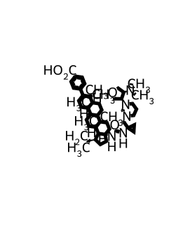 C=C(C)[C@@H]1CC[C@]2(NC(=O)NC3(CN4CCCN([C@@H]5COC[C@H]5N(C)C)C4)CC3)CC[C@]3(C)[C@H](CC[C@@H]4[C@@]5(C)CC=C(c6ccc(C(=O)O)cc6)C(C)(C)[C@@H]5CC[C@]43C)[C@@H]12